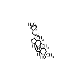 C=CN(CC(=O)[C@H]1CC[C@H]2[C@@H]3CC[C@@H]4C[C@](C)(O)CC[C@]4(C)C3=CC[C@]12C)/N=C\C